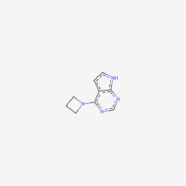 c1nc(N2CCC2)c2cc[nH]c2n1